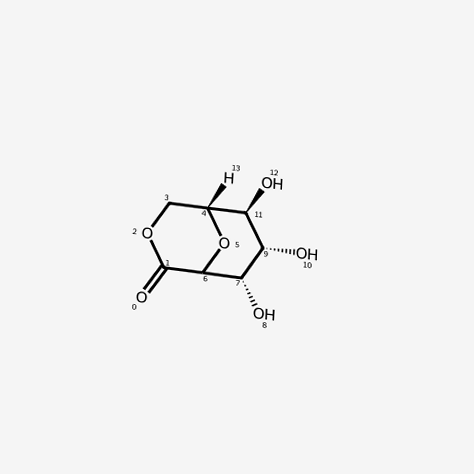 O=C1OC[C@H]2OC1[C@@H](O)[C@@H](O)[C@@H]2O